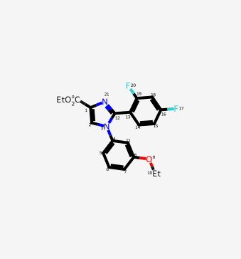 CCOC(=O)c1cn(-c2cccc(OCC)c2)c(-c2ccc(F)cc2F)n1